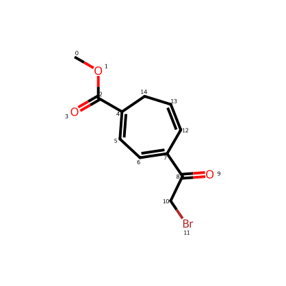 COC(=O)C1=CC=C(C(=O)CBr)C=CC1